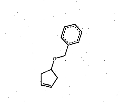 C1=CCC(OCc2ccccc2)C1